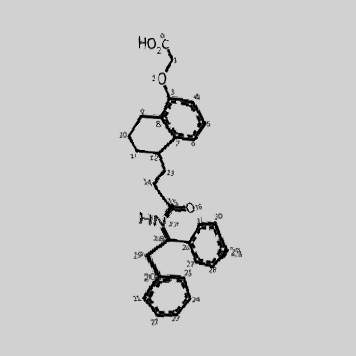 O=C(O)COc1cccc2c1CCCC2CCC(=O)NC(Cc1ccccc1)c1ccccc1